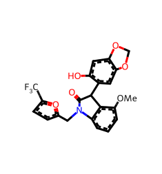 COc1cccc2c1C(c1cc3c(cc1O)OCO3)C(=O)N2Cc1ccc(C(F)(F)F)o1